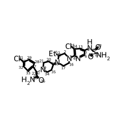 CC[C@H]1CN(c2ncc(NS(N)(=O)=O)cc2Cl)CCN1C1CCN([C@H](C(N)=O)c2ccc(Cl)cc2)CC1